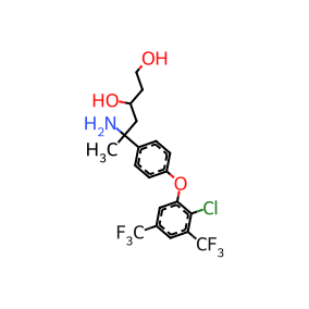 CC(N)(CC(O)CCO)c1ccc(Oc2cc(C(F)(F)F)cc(C(F)(F)F)c2Cl)cc1